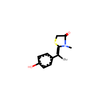 CN1C(=O)CSC1=C(c1ccc(O)cc1)C(C)(C)C